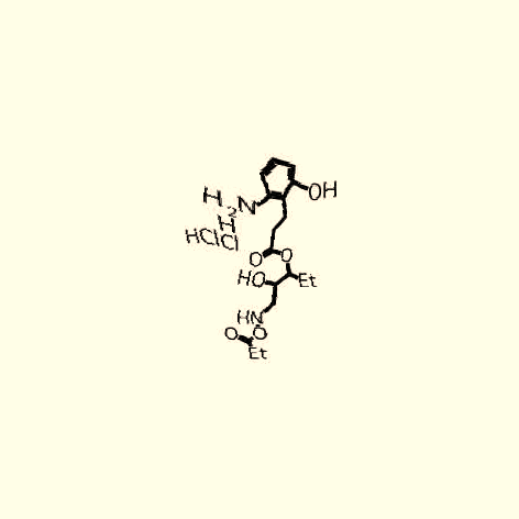 CCC(=O)ONCC(O)C(CC)OC(=O)CCc1c(N)cccc1O.Cl.Cl